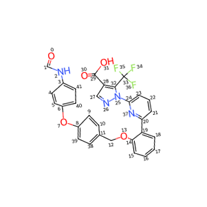 O=CNc1ccc(Oc2ccc(COc3ccccc3-c3cccc(-n4ncc(C(=O)O)c4C(F)(F)F)n3)cc2)cc1